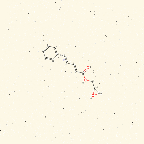 O=C(C=C/C=C/c1ccccc1)OCC1CO1